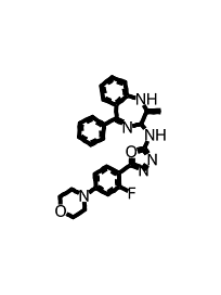 C=C1Nc2ccccc2C(c2ccccc2)=NC1Nc1nnc(-c2ccc(N3CCOCC3)cc2F)o1